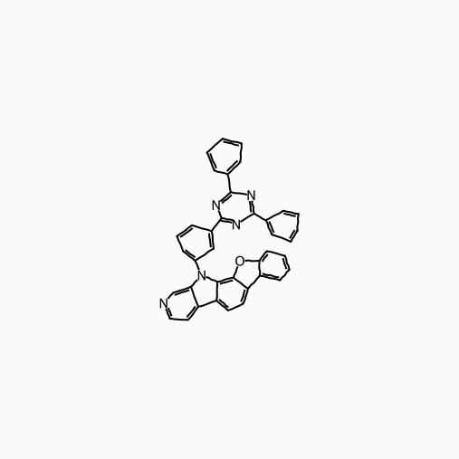 c1ccc(-c2nc(-c3ccccc3)nc(-c3cccc(-n4c5cnccc5c5ccc6c7ccccc7oc6c54)c3)n2)cc1